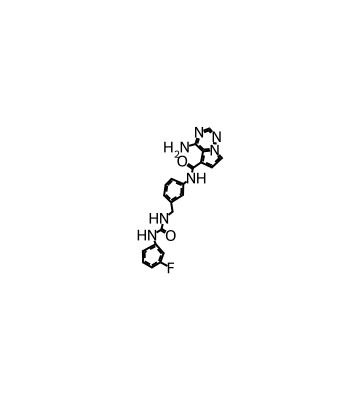 Nc1ncnn2ccc(C(=O)Nc3cccc(CNC(=O)Nc4cccc(F)c4)c3)c12